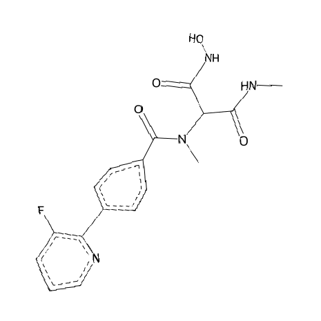 CNC(=O)C(C(=O)NO)N(C)C(=O)c1ccc(-c2ncccc2F)cc1